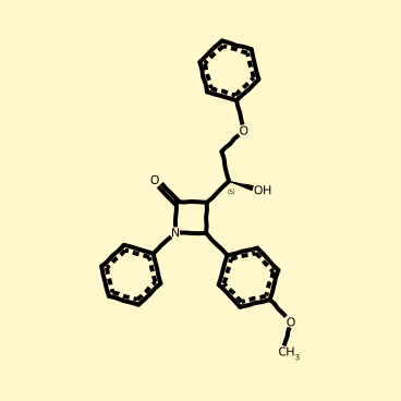 COc1ccc(C2C([C@H](O)COc3ccccc3)C(=O)N2c2ccccc2)cc1